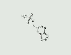 CS(=O)(=O)OCc1cnc2snnc2c1